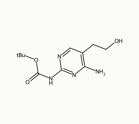 CC(C)(C)OC(=O)Nc1ncc(CCO)c(N)n1